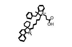 CN1/C(=C/C=C/C=C/C2=[N+](CCC(=O)O)c3ccccc3C2(C)Cc2ccccc2)C2(CCCCC2)c2ccc3ccccc3c21